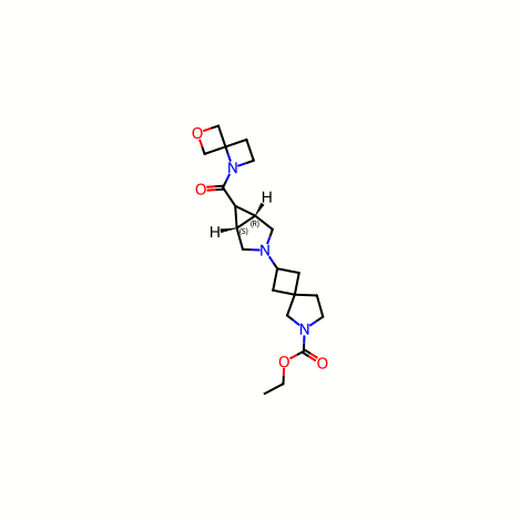 CCOC(=O)N1CCC2(CC(N3C[C@@H]4C(C(=O)N5CCC56COC6)[C@@H]4C3)C2)C1